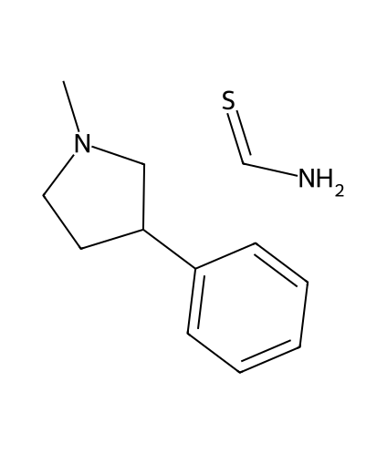 CN1CCC(c2ccccc2)C1.NC=S